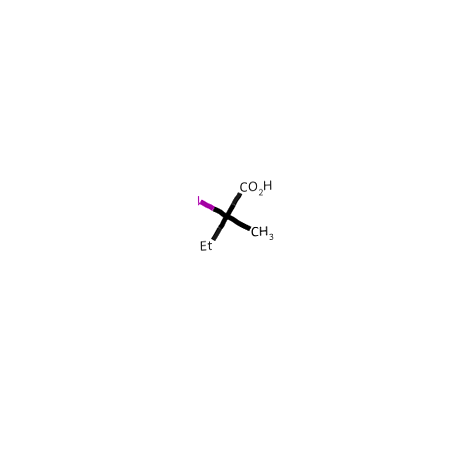 CCC(C)(I)C(=O)O